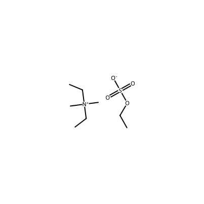 CCOS(=O)(=O)[O-].CC[N+](C)(C)CC